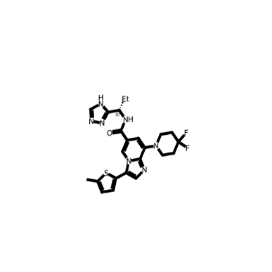 CC[C@H](NC(=O)c1cc(N2CCC(F)(F)CC2)c2ncc(-c3ccc(C)s3)n2c1)c1nnc[nH]1